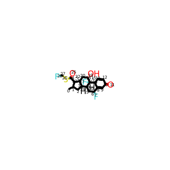 CC1C[C@H]2[C@@H]3CC(F)C4=CC(=O)C=C[C@]4(C)[C@@]3(F)C(O)C[C@]2(C)C1C(=O)SCF